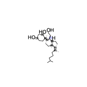 CC(C)CCC[C@@H](C)[C@H]1CC[C@H]2/C(=C/CO)[C@@H]([C@@]3(C)CC[C@H](O)C[C@@H]3O)CC[C@]12C